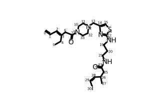 C=C/C=C(\CC)CC(=O)N1CCN(Cc2csc(NCCCNC(=O)CC(C)/C=C\I)n2)CC1